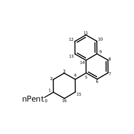 [CH2]CCCCC1CCC(c2cccc3ccccc23)CC1